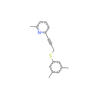 Cc1cc(C)cc(SCC#Cc2cccc(C)n2)c1